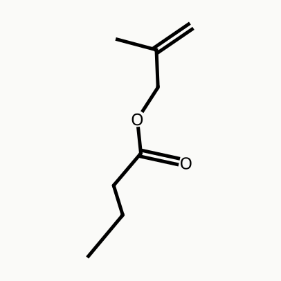 C=C(C)COC(=O)CCC